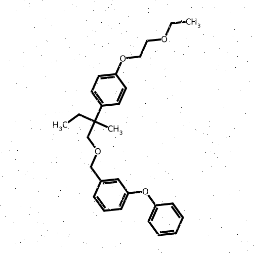 CCOCCOc1ccc(C(C)(CC)COCc2cccc(Oc3ccccc3)c2)cc1